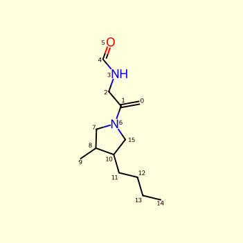 C=C(CNC=O)N1CC(C)C(CCCC)C1